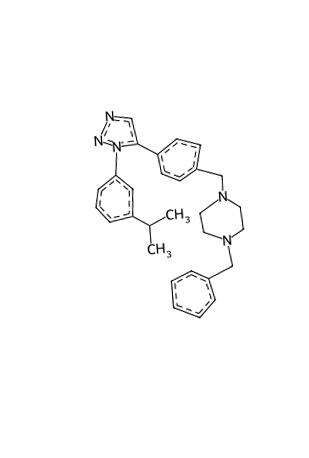 CC(C)c1cccc(-n2nncc2-c2ccc(CN3CCN(Cc4ccccc4)CC3)cc2)c1